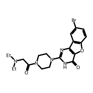 CCN(CC)CC(=O)N1CCN(c2nc3c(oc4ccc(Br)cc43)c(=O)[nH]2)CC1